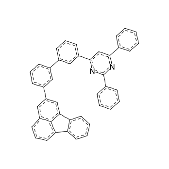 c1ccc(-c2cc(-c3cccc(-c4cccc(-c5cc6c7c(cccc7c5)-c5ccccc5-6)c4)c3)nc(-c3ccccc3)n2)cc1